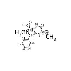 COc1ccc(C2(N(C)Cc3ccccc3)CC2)cc1